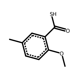 COc1ccc(C)cc1C(=O)S